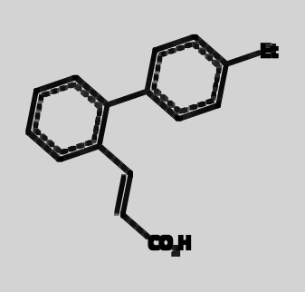 CCc1ccc(-c2ccccc2C=CC(=O)O)cc1